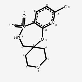 O=S1(=O)NCC2(CCOCC2)Oc2nc(Cl)ccc21